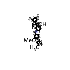 COc1cc(/C=C2\CCCN3C2=NOC3(CO)c2cc(F)cc(F)c2)ccc1-n1cnc(C)c1